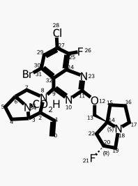 C=CC1C2CCC(CN1c1nc(OC[C@@]34CCCN3C[C@H](F)C4)nc3c(F)c(Cl)cc(Br)c13)N2C(=O)O